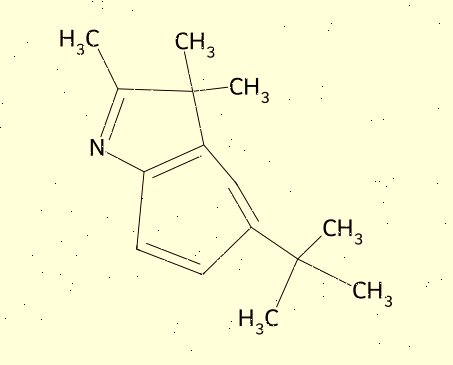 CC1=Nc2ccc(C(C)(C)C)cc2C1(C)C